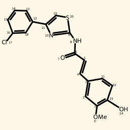 COc1cc(C=CC(=O)Nc2nc(-c3cccc(Cl)c3)cs2)ccc1O